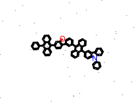 c1ccc(-c2c3ccccc3c(-c3ccc4c(c3)oc3ccc(-c5c6ccccc6c(-c6ccc7c(c6)c6ccccc6n7-c6ccccc6)c6ccccc56)cc34)c3ccccc23)cc1